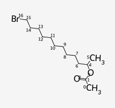 CC(=O)OC(C)CCCCCCCCCCBr